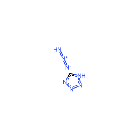 [N-]=[N+]=N.c1nnn[nH]1